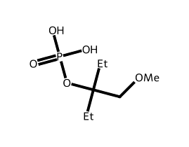 CCC(CC)(COC)OP(=O)(O)O